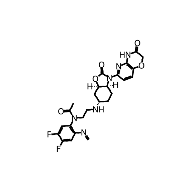 C=Nc1cc(F)c(F)cc1N(CCN[C@H]1CC[C@H]2[C@@H](C1)OC(=O)N2c1ccc2c(n1)NC(=O)CO2)C(C)=O